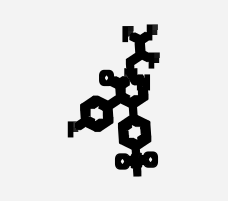 CS(=O)(=O)c1ccc(-c2cnn(CC(F)=C(F)F)c(=O)c2-c2ccc(F)cc2)cc1